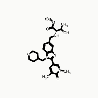 Cc1cc(-c2nc3cc(CN[C@H](C(=O)OC(C)(C)C)C(C)O)ccc3n2CC2CCOCC2)cn(C)c1=O